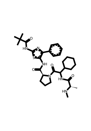 CN[C@@H](C)C(=O)NC(C(=O)N1CCC[C@H]1C(=O)Nc1sc(NC(=O)C(C)(C)C)nc1-c1ccccc1)C1CCCCC1